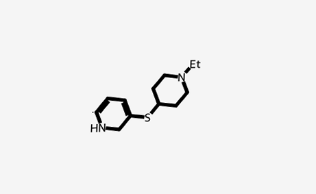 CCN1CCC(SC2=CC=[C]NC2)CC1